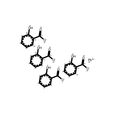 O=C([O-])c1ccccc1O.O=C([O-])c1ccccc1O.O=C([O-])c1ccccc1O.O=C([O-])c1ccccc1O.[Pb+4]